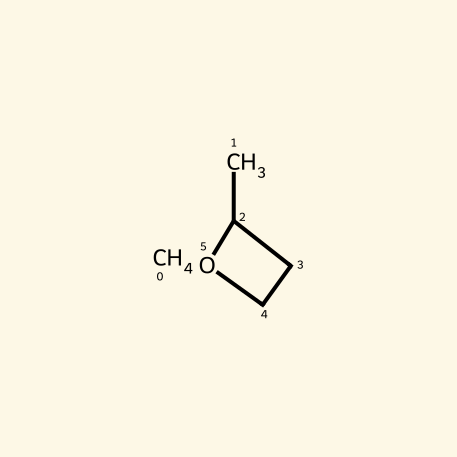 C.CC1CCO1